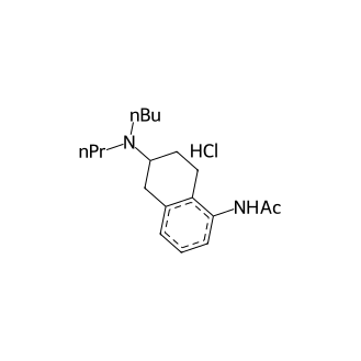 CCCCN(CCC)C1CCc2c(cccc2NC(C)=O)C1.Cl